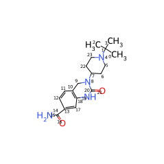 CC(C)(C)N1CCC(N2Cc3ccc(C(N)=O)cc3NC2=O)CC1